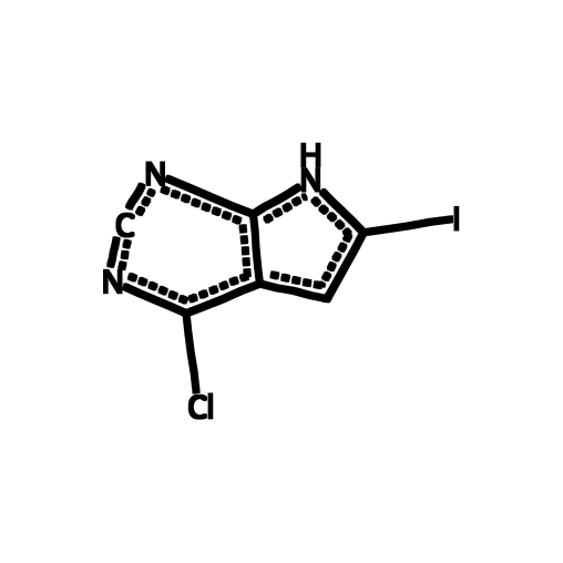 Clc1ncnc2[nH]c(I)cc12